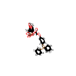 O=C(COc1ccc([S+](c2ccccc2)c2ccccc2)cc1)OC1C2CC3C(O2)C1OS3(=O)=O